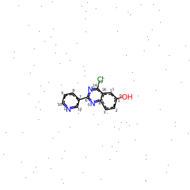 Oc1ccc2nc(-c3cccnc3)nc(Cl)c2c1